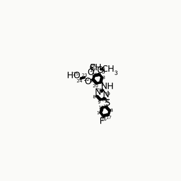 COc1cc(Nc2nccc(Sc3ccc(F)cc3)n2)cc(OCCO)c1OC